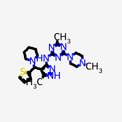 Cc1nc(Nc2n[nH]c(C)c2C(c2cccs2)N2CCCCC2)nc(N2CCN(C)CC2)n1